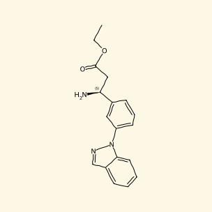 CCOC(=O)C[C@H](N)c1cccc(-n2ncc3ccccc32)c1